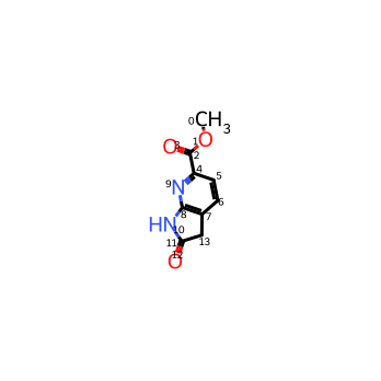 COC(=O)c1ccc2c(n1)NC(=O)C2